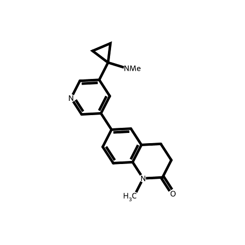 CNC1(c2cncc(-c3ccc4c(c3)CCC(=O)N4C)c2)CC1